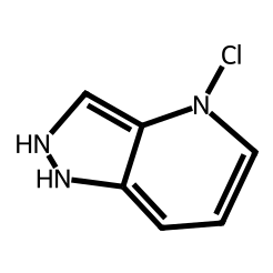 ClN1C=CC=C2NNC=C21